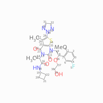 COc1ccc(F)cc1[C@H](Cn1c(=O)n([C@H](C)C(=O)NC2CCC2)c(=O)c2c(C)c(-n3nccn3)sc21)OCCO